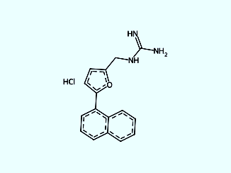 Cl.N=C(N)NCc1ccc(-c2cccc3ccccc23)o1